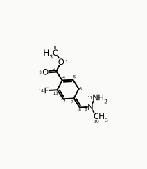 COC(=O)C1=CC/C(=C\N(C)N)C=C1F